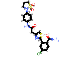 NC(=O)c1ccc(Cl)cc1-c1nc(CC(=O)Nc2ccc(N3CCCS3(=O)=O)cc2)cs1